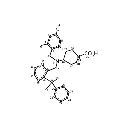 Cc1cc(Cl)cnc1CN(Cc1ncccc1C(C)(C)c1ccccc1)C1CCN(C(=O)O)CC1